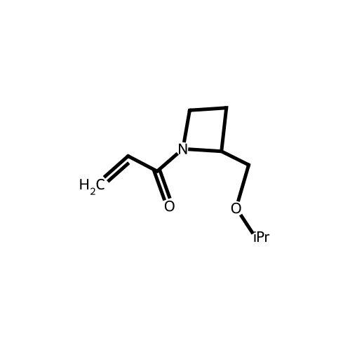 C=CC(=O)N1CCC1COC(C)C